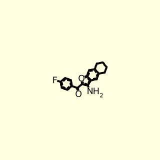 Nc1c(C(=O)c2ccc(F)cc2)oc2cc3c(cc12)CCCC3